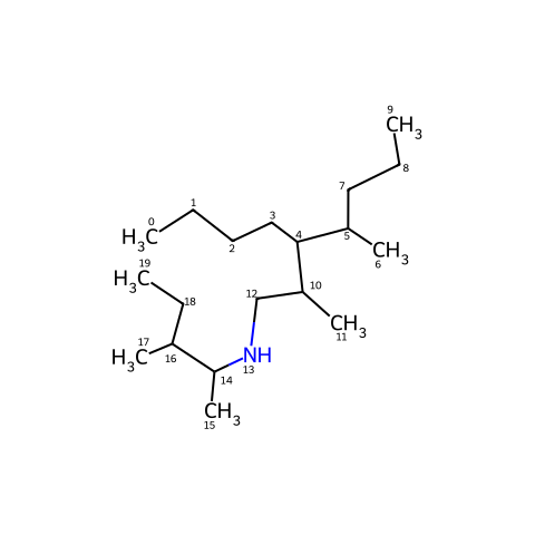 CCCCC(C(C)CCC)C(C)CNC(C)C(C)CC